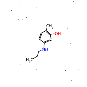 CCCNc1ccc(C)c(O)c1